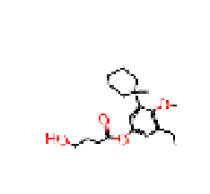 CCc1cc(OC(=O)CCCO)cc(C2(C)CCCCC2)c1OC